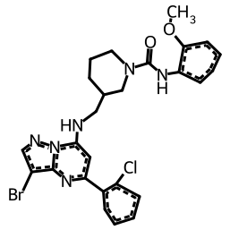 COc1ccccc1NC(=O)N1CCCC(CNc2cc(-c3ccccc3Cl)nc3c(Br)cnn23)C1